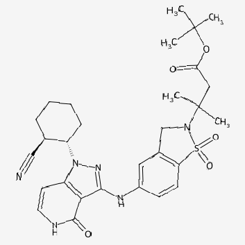 CC(C)(C)OC(=O)CC(C)(C)N1Cc2cc(Nc3nn([C@H]4CCCC[C@@H]4C#N)c4cc[nH]c(=O)c34)ccc2S1(=O)=O